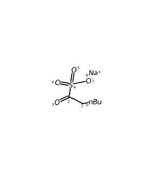 CCCCCC(=O)S(=O)(=O)[O-].[Na+]